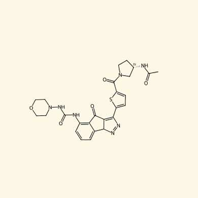 CC(=O)N[C@H]1CCN(C(=O)c2ccc(C3=C4C(=O)c5c(NC(=O)NN6CCOCC6)cccc5C4N=N3)s2)C1